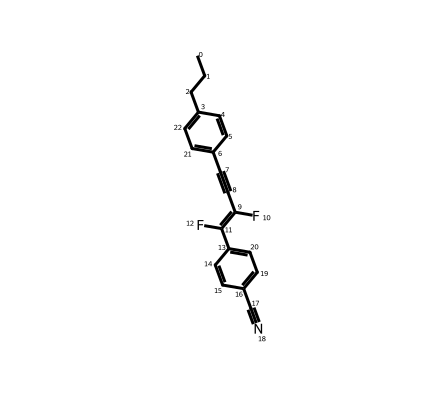 CCCc1ccc(C#CC(F)=C(F)c2ccc(C#N)cc2)cc1